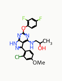 COc1ccc(-c2n[nH]c3nc(Oc4ccc(F)cc4F)nc(NCC(C)O)c23)c(Cl)c1